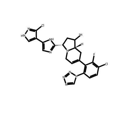 [2H]C1C[C@@H](c2ncc(-c3c[nH]nc3Cl)[nH]2)N2CC=C(c3c(-n4cnnn4)ccc(Cl)c3F)C[C@@H]12